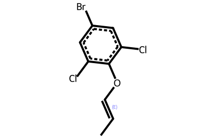 C/C=C/Oc1c(Cl)cc(Br)cc1Cl